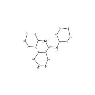 C1CCC(N=C(NC2CCCCC2)C2CCOCC2)CC1